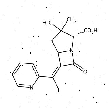 CC1(C)CC2/C(=C(/I)c3ccccn3)C(=O)N2[C@H]1C(=O)O